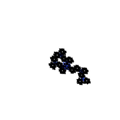 c1ccc(N(c2ccccc2)c2ccc3c(c2)c2ccccc2n3-c2cccc(-c3cccc(-c4nc(-n5c6ccccc6c6cc(N(c7ccccc7)c7ccccc7)ccc65)nc(-n5c6ccccc6c6cc(N(c7ccccc7)c7ccccc7)ccc65)n4)c3)c2)cc1